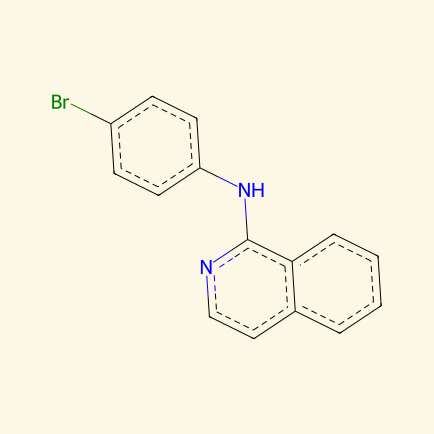 Brc1ccc(Nc2nccc3ccccc23)cc1